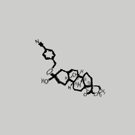 CC[C@]1(C(C)=O)CC[C@H]2[C@@H]3CC=C4CC(O)(OCc5ccc(C#N)cc5)CC[C@]4(C)[C@H]3CC[C@@]21C